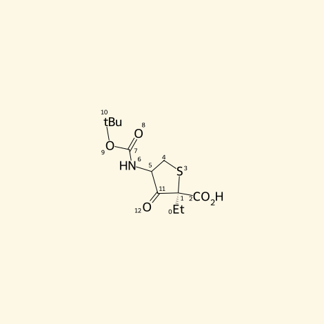 CC[C@@]1(C(=O)O)SCC(NC(=O)OC(C)(C)C)C1=O